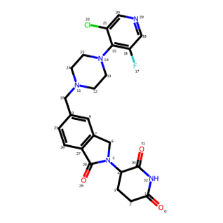 O=C1CCC(N2Cc3cc(CN4CCN(c5c(F)cncc5Cl)CC4)ccc3C2=O)C(=O)N1